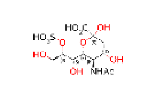 CC(=O)N[C@H]1[C@H]([C@H](O)[C@@H](CO)OS(=O)(=O)O)O[C@](O)(C(=O)O)C[C@@H]1O